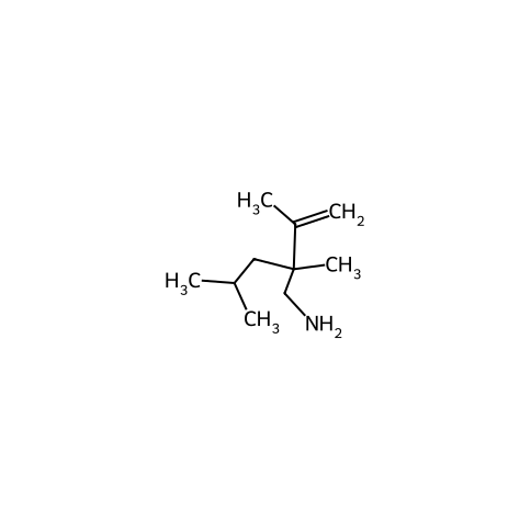 C=C(C)C(C)(CN)CC(C)C